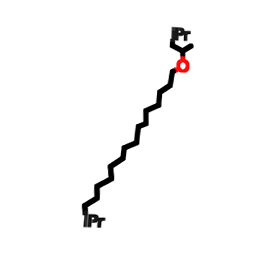 CC(C)CCCCCCCCCCCCCCCOC(C)CC(C)C